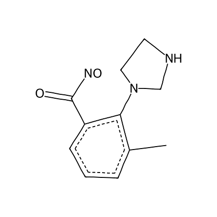 Cc1cccc(C(=O)N=O)c1N1CCNC1